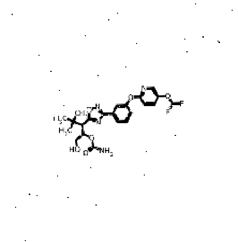 CC(C)(C)C(c1nc(-c2cccc(Oc3ccc(OC(F)F)cn3)c2)no1)C(CO)OC(N)=O